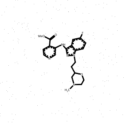 COC(=O)c1ccncc1Nc1nn(CCC2CN(C)CCO2)c2ccc(F)cc12